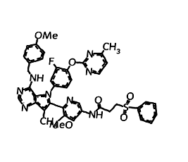 COc1ccc(CNc2ncnc3c(C)c(-c4ncc(NC(=O)CCS(=O)(=O)c5ccccc5)cc4OC)n(-c4ccc(Oc5nccc(C)n5)c(F)c4)c23)cc1